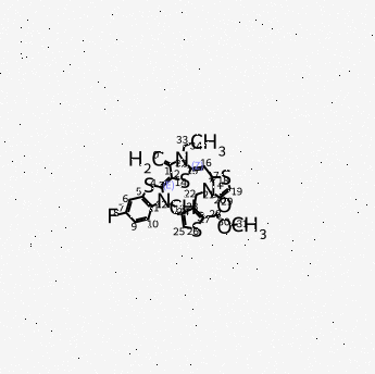 C=C1/C(=C2\Sc3cc(F)ccc3N2C)S/C(=C\c2scc[n+]2Cc2ccsc2C(=O)OC)N1CC